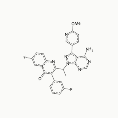 COc1ccc(-c2nn(C(C)c3nc4ccc(F)cn4c(=O)c3-c3cccc(F)c3)c3ncnc(N)c23)cn1